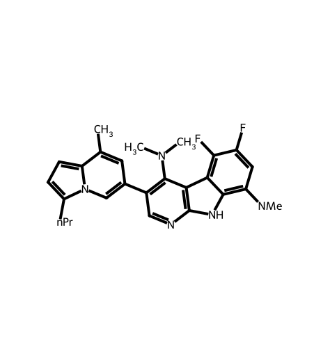 CCCc1ccc2c(C)cc(-c3cnc4[nH]c5c(NC)cc(F)c(F)c5c4c3N(C)C)cn12